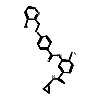 Cc1ccc(C(=O)NC2CC2)cc1NC(=O)c1ccc(OCc2ncccc2O)cc1